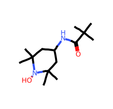 CC(C)(C)C(=O)NC1CC(C)(C)N(O)C(C)(C)C1